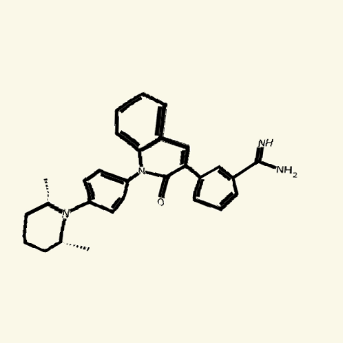 C[C@@H]1CCC[C@H](C)N1c1ccc(-n2c(=O)c(-c3cccc(C(=N)N)c3)cc3ccccc32)cc1